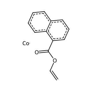 C=COC(=O)c1cccc2ccccc12.[Co]